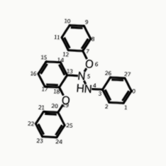 c1ccc(NN(Oc2ccccc2)c2ccccc2Oc2ccccc2)cc1